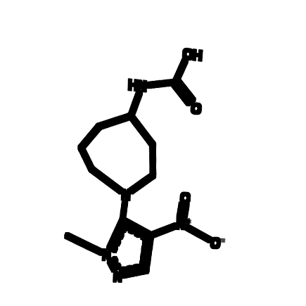 Cn1ncc([N+](=O)[O-])c1N1CCCC(NC(=O)O)CC1